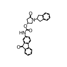 O=C(Nc1ccc2c(c1)C(=O)c1ccccc1-2)OC1CC(=O)N(C2Cc3ccccc3C2)C1